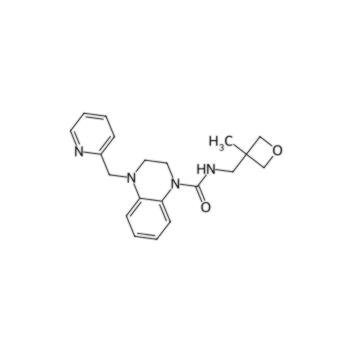 CC1(CNC(=O)N2CCN(Cc3ccccn3)c3ccccc32)COC1